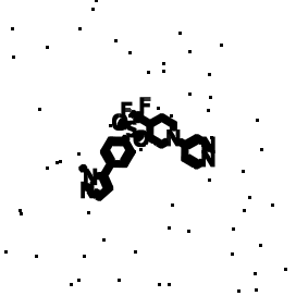 Cn1nccc1-c1ccc(S(=O)(=O)C(F)(F)C2CCN(c3ccnnc3)CC2)cc1